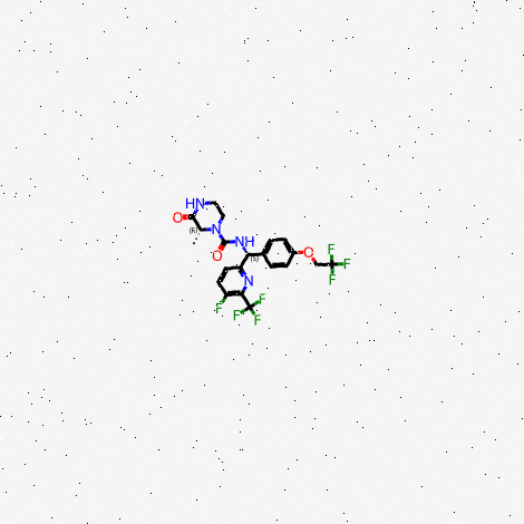 C[C@@H]1C(=O)NCCN1C(=O)N[C@@H](c1ccc(OCC(F)(F)F)cc1)c1ccc(F)c(C(F)(F)F)n1